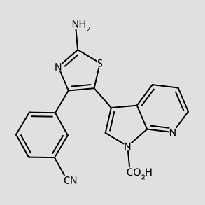 N#Cc1cccc(-c2nc(N)sc2-c2cn(C(=O)O)c3ncccc23)c1